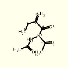 C=C(CC)C(=O)N(NC(C)=O)C(C)=O